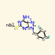 CCCCSc1nc(N)c2ncn(Cc3ccc(F)cc3F)c2n1